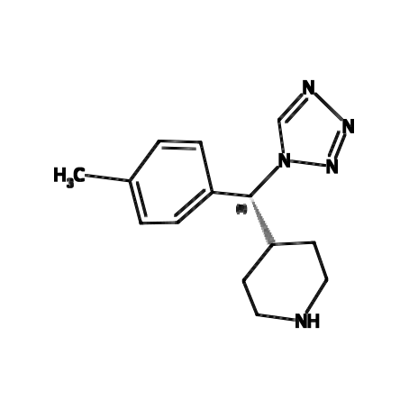 Cc1ccc([C@@H](C2CCNCC2)n2cnnn2)cc1